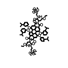 CCOCCC(C(=O)NCC[Si](OC)(OC)OC)N1C(=O)c2cc(Oc3cccc(C(C)C)c3)c3c4c(Oc5cccc(C(C)C)c5)cc5c6c(cc(Oc7cccc(C(C)C)c7)c(c7c(Oc8cccc(C(C)C)c8)cc(c2c37)C1=O)c64)C(=O)N(C(CCOCC)C(=O)NCC[Si](OC)(OC)OC)C5=O